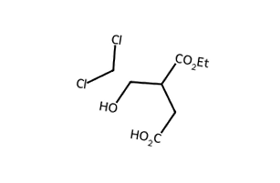 CCOC(=O)C(CO)CC(=O)O.ClCCl